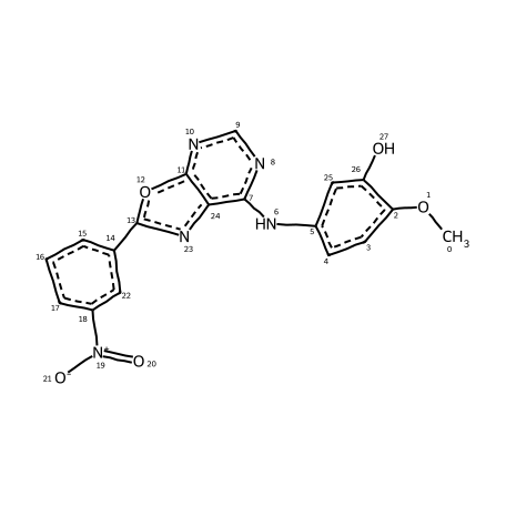 COc1ccc(Nc2ncnc3oc(-c4cccc([N+](=O)[O-])c4)nc23)cc1O